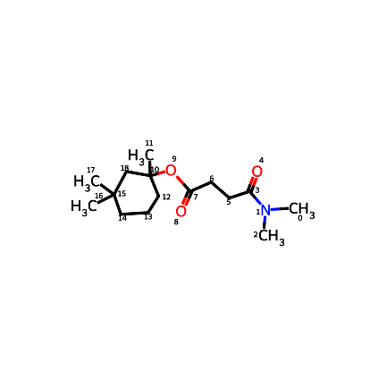 CN(C)C(=O)CCC(=O)OC1(C)CCCC(C)(C)C1